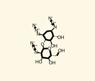 [N-]=[N+]=N[C@H]1[C@@H](O[C@H]2[C@H](O)[C@@H](O)[C@H](N=[N+]=[N-])C[C@@H]2N=[N+]=[N-])O[C@H](CO)[C@@H](O)[C@@H]1O